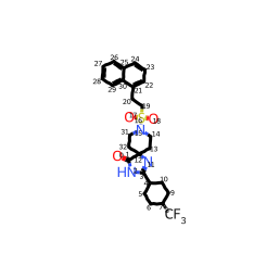 O=C1NC(C2CCC(C(F)(F)F)CC2)=NC12CCN(S(=O)(=O)CCc1cccc3ccccc13)CC2